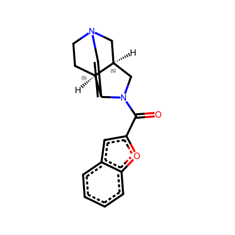 O=C(c1cc2ccccc2o1)N1C[C@@H]2CN3C=C1[C@H]2CC3